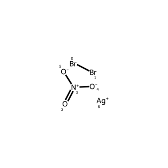 BrBr.O=[N+]([O-])[O-].[Ag+]